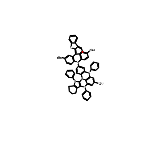 CC(C)(C)c1ccc(N(c2ccc3c(c2)N(c2ccccc2)c2cc(C(C)(C)C)cc4c2B3c2c(c3c(n2-c2ccccc2)CCCC3)N4c2ccccc2)c2ccc(C(C)(C)C)cc2-c2cccc3c2oc2ccccc23)cc1